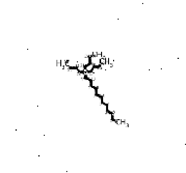 CCCCCCCCCCCC[P](CCCC)(CCCC)CCCC